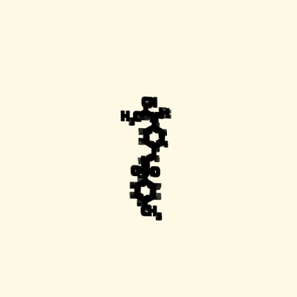 CCN(c1ccc(C=NS(=O)(=O)c2ccc(C)cc2)cc1)C(C)C#N